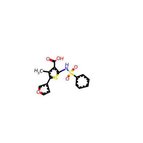 Cc1c(-c2ccoc2)sc(NS(=O)(=O)c2ccccc2)c1C(=O)O